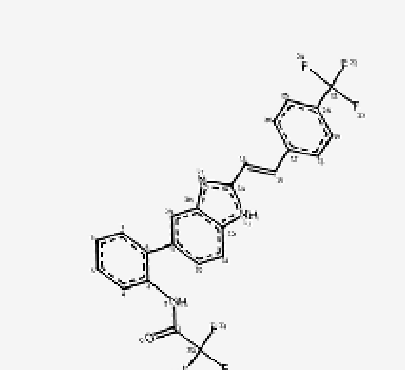 O=C(Nc1ccccc1-c1ccc2[nH]c(C=Cc3ccc(C(F)(F)F)cc3)nc2c1)C(F)(F)F